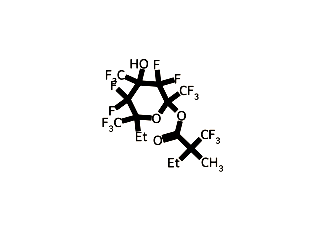 CCC(C)(C(=O)OC1(C(F)(F)F)OC(CC)(C(F)(F)F)C(F)(F)C(O)(C(F)(F)F)C1(F)F)C(F)(F)F